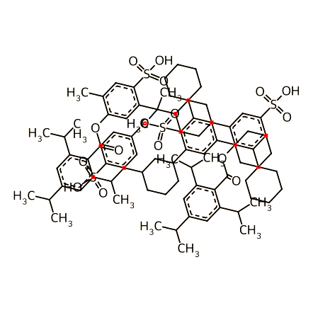 Cc1cc(S(=O)(=O)O)c(C(C)(C)C2CCC(c3cc(S(=O)(=O)O)cc(C4CCCCC4)c3OC(=O)c3c(C(C)C)cc(C(C)C)cc3C(C)C)CC2)cc1OC(=O)c1c(C(C)C)cc(C(C)C)cc1C(C)CC1CCCC(c2cc(C3CCCCC3)cc(C3CCCCC3)c2S(=O)(=O)Oc2ccc(S(=O)(=O)O)cc2)C1